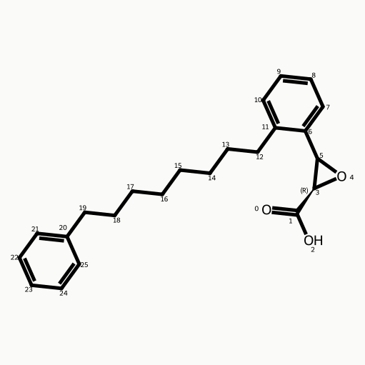 O=C(O)[C@@H]1OC1c1ccccc1CCCCCCCCc1ccccc1